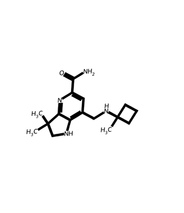 CC1(NCc2cc(C(N)=O)nc3c2NCC3(C)C)CCC1